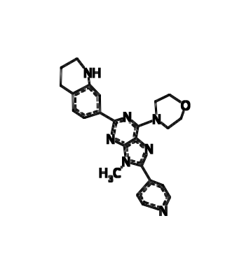 Cn1c(-c2ccncc2)nc2c(N3CCOCC3)nc(-c3ccc4c(c3)NCCC4)nc21